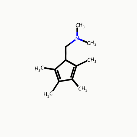 CC1=C(C)C(CN(C)C)C(C)=C1C